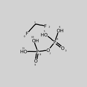 FCF.O=P(O)(O)OP(=O)(O)O